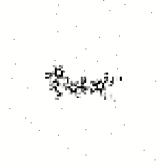 COC(=O)c1cc(OC)c2nc(C3CC3(C#N)c3ccc(OCc4c(-c5c(Cl)cccc5Cl)noc4C4CC4)cc3Cl)sc2c1